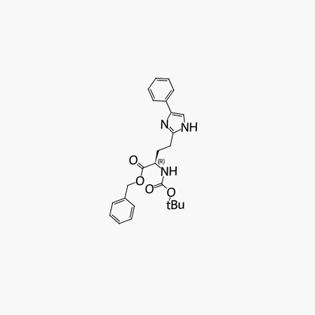 CC(C)(C)OC(=O)N[C@H](CCc1nc(-c2ccccc2)c[nH]1)C(=O)OCc1ccccc1